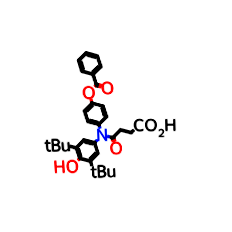 CC(C)(C)c1cc(N(C(=O)CCC(=O)O)c2ccc(OC(=O)c3ccccc3)cc2)cc(C(C)(C)C)c1O